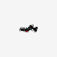 CC(C)C1=C2[C@H]3CC[C@@H]4[C@@]5(C)CCC(OC(=O)CC(C)(C)C(=O)O)C(C)(C)[C@@H]5CC[C@@]4(C)[C@]3(C)CC[C@@]2([C@@H](O)CN(CCN(C)C)Cc2ncco2)CC1=O